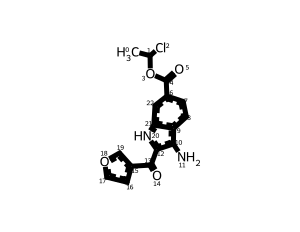 CC(Cl)OC(=O)c1ccc2c(N)c(C(=O)c3ccoc3)[nH]c2c1